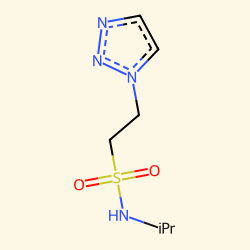 CC(C)NS(=O)(=O)CCn1ccnn1